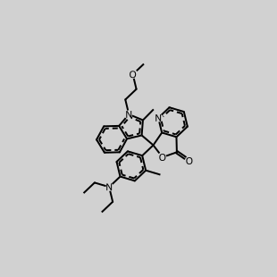 CCN(CC)c1ccc(C2(c3c(C)n(CCOC)c4ccccc34)OC(=O)c3cccnc32)c(C)c1